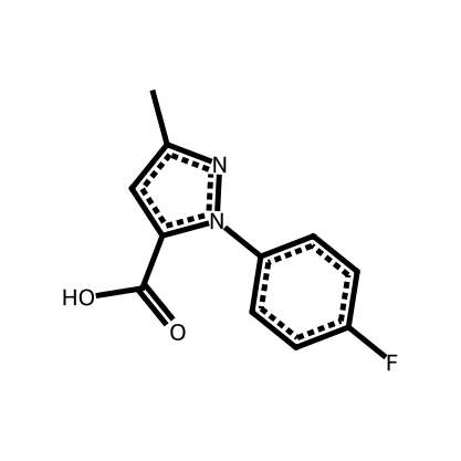 Cc1cc(C(=O)O)n(-c2ccc(F)cc2)n1